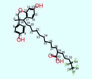 CC1(c2ccc(O)cc2)COc2cc(O)ccc2C1CCCCCCCCCCC(CCCC(F)(F)C(F)(F)F)C(=O)O